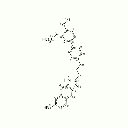 CCOc1ccc(-c2ccc(CCCc3nn(Cc4ccc(C(C)(C)C)cc4)c(=O)[nH]3)cc2)cc1CC(=O)O